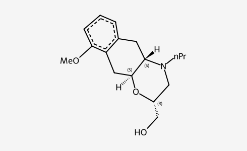 CCCN1C[C@H](CO)O[C@H]2Cc3c(cccc3OC)C[C@@H]21